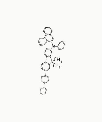 CC1(C)c2cc(-c3ccc(-c4ccccc4)cc3)ccc2-c2ccc(N(c3ccccc3)c3cc4ccccc4c4ccccc34)cc21